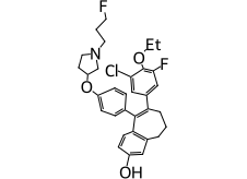 CCOc1c(F)cc(C2=C(c3ccc(OC4CCN(CCCF)C4)cc3)c3ccc(O)cc3CCC2)cc1Cl